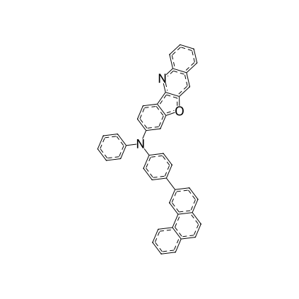 c1ccc(N(c2ccc(-c3ccc4ccc5ccccc5c4c3)cc2)c2ccc3c(c2)oc2cc4ccccc4nc23)cc1